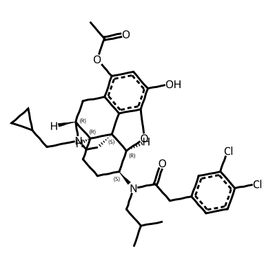 CC(=O)Oc1cc(O)c2c3c1C[C@@H]1[C@@H]4CC[C@H](N(CC(C)C)C(=O)Cc5ccc(Cl)c(Cl)c5)[C@H](O2)[C@]34CCN1CC1CC1